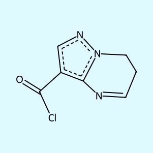 O=C(Cl)c1cnn2c1N=CCC2